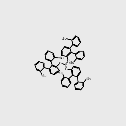 CC(C)(C)c1ccccc1-c1cccc(OP(Oc2cccc(-c3ccccc3C(C)(C)C)c2-c2ccccc2C(C)(C)C)Oc2cccc(-c3ccccc3C(C)(C)C)c2-c2ccccc2C(C)(C)C)c1-c1ccccc1C(C)(C)C